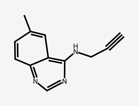 C#CCNc1ncnc2ccc(C)cc12